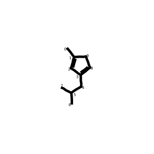 CC1=CC(CC(C)C)=CC1